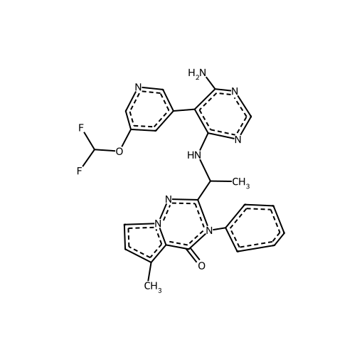 Cc1ccn2nc(C(C)Nc3ncnc(N)c3-c3cncc(OC(F)F)c3)n(-c3ccccc3)c(=O)c12